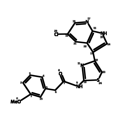 COc1cccc(CC(=O)Nc2nc(-c3c[nH]c4ncc(Cl)cc34)cs2)c1